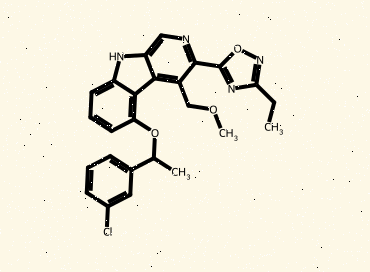 CCc1noc(-c2ncc3[nH]c4cccc(OC(C)c5cccc(Cl)c5)c4c3c2COC)n1